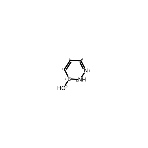 OB1C=CC=NN1